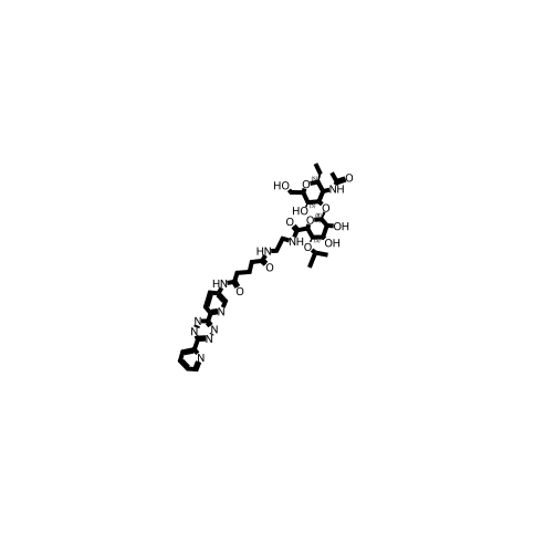 CC[C@@H]1OC(CO)[C@@H](O)C(O[C@@H]2OC(C(=O)NCCNC(=O)CCCC(=O)Nc3ccc(-c4nnc(-c5ccccn5)nn4)nc3)[C@@H](OC(C)C)C(O)C2O)C1NC(C)=O